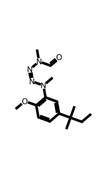 CCC(C)(C)c1ccc(OC)c(N(C)/N=N\N(C)C=O)c1